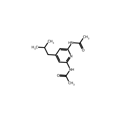 CC(=O)Nc1cc(CC(C)C)cc(NC(C)=O)n1